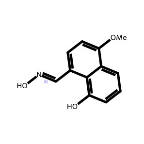 COc1ccc(/C=N/O)c2c(O)cccc12